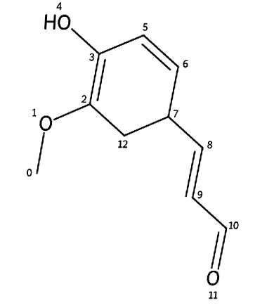 COC1=C(O)C=CC(C=CC=O)C1